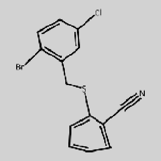 N#Cc1ccccc1SCc1cc(Cl)ccc1Br